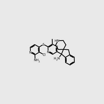 Cc1nc(C2(N)c3ccccc3CC23CCNCC3)cnc1Sc1ccnc(N)c1Cl